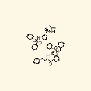 CC(C)NC(=O)c1cccc(N(Cc2ccccc2)S(=O)(=O)c2ccccc2)c1.O=C(NCCc1ccccc1)c1cccc(N(Cc2ccccc2)S(=O)(=O)c2ccccc2)c1